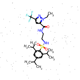 CCn1nc(C(F)(F)F)cc1C(=O)NCCNS(=O)(=O)c1c(C(C)C)cc(C(C)C)cc1C(C)C